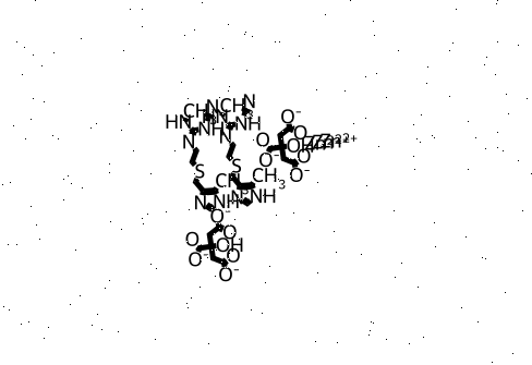 CNC(=NCCSCc1nc[nH]c1C)NC#N.CNC(=NCCSCc1nc[nH]c1C)NC#N.O=C([O-])CC(O)(CC(=O)[O-])C(=O)[O-].O=C([O-])CC(O)(CC(=O)[O-])C(=O)[O-].[Zn+2].[Zn+2].[Zn+2]